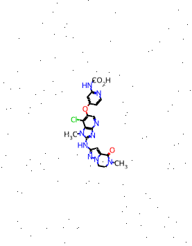 CN1CCn2nc(Nc3nc4ncc(Oc5ccnc(NC(=O)O)c5)c(Cl)c4n3C)cc2C1=O